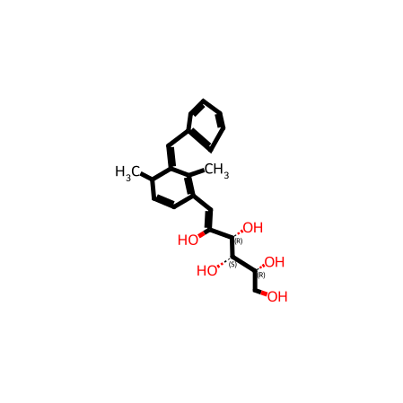 CC1=C(C=C(O)[C@H](O)[C@@H](O)[C@H](O)CO)C=CC(C)C1=Cc1ccccc1